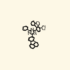 Clc1ccc(-c2nc(-c3ccccc3)nc(-c3ccc4c(c3)-c3cccc5cccc-4c35)n2)c2c1oc1ccccc12